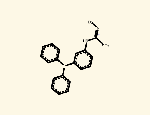 CC/N=C(/N)Nc1cccc(P(c2ccccc2)c2ccccc2)c1